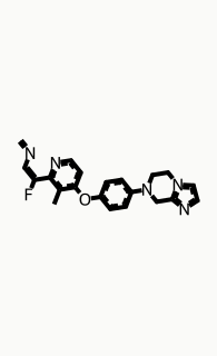 C=N/C=C(/F)c1nccc(Oc2ccc(N3CCn4ccnc4C3)cc2)c1C